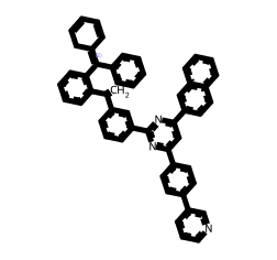 C=C(c1cccc(-c2nc(-c3ccc(-c4cccnc4)cc3)cc(-c3ccc4ccccc4c3)n2)c1)c1ccccc1/C(=C1/C=CC=CC1)c1ccccc1